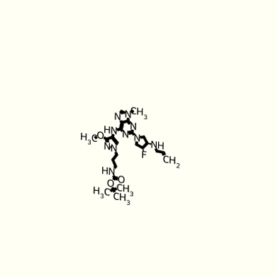 C=CCN[C@@H]1CN(c2nc(Nc3cn(CCCNC(=O)OC(C)(C)C)nc3OC)c3ncn(C)c3n2)C[C@H]1F